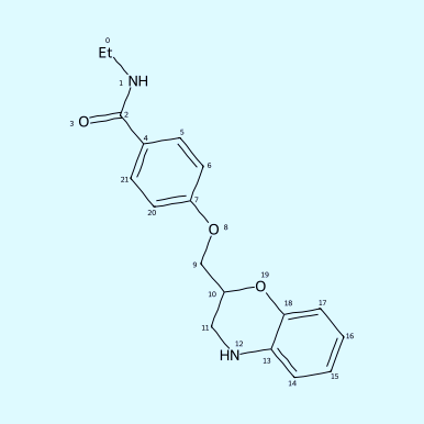 CCNC(=O)c1ccc(OCC2CNc3ccccc3O2)cc1